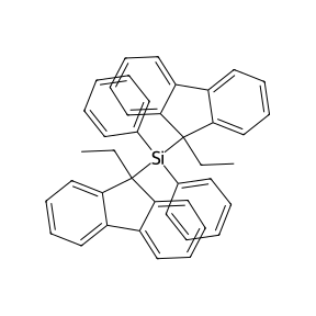 CCC1([Si](c2ccccc2)(c2ccccc2)C2(CC)c3ccccc3-c3ccccc32)c2ccccc2-c2ccccc21